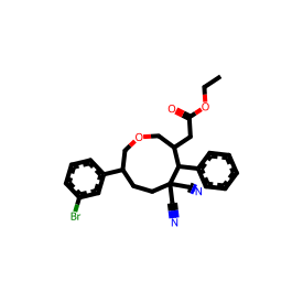 CCOC(=O)CC1COCC(c2cccc(Br)c2)CCC(C#N)(C#N)C1c1ccccc1